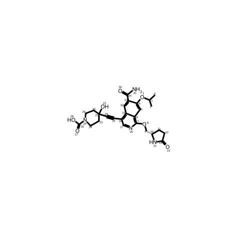 CC(C)Oc1cc2c(OC[C@@H]3CCC(=O)N3)ncc(C#CC3(O)CCN(C(=O)O)CC3)c2cc1C(N)=O